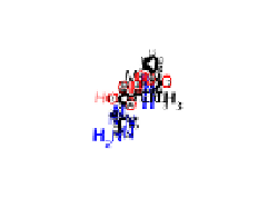 COC(=O)[C@H](C)NP(=O)(Oc1ccccc1)O[C@@H](C)[C@H]1O[C@@H](n2cnc3c(N)ncnc32)[C@H](O)[C@@H]1O